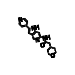 O=C(CC1CCOCC1)Nc1cc2[nH]c(-c3ccncc3)cc2cn1